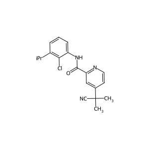 CC(C)c1cccc(NC(=O)c2cc(C(C)(C)C#N)ccn2)c1Cl